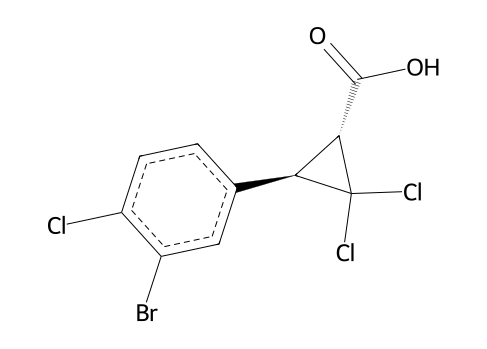 O=C(O)[C@H]1[C@H](c2ccc(Cl)c(Br)c2)C1(Cl)Cl